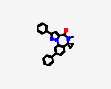 CN1C(=O)c2cc(-c3ccccc3)nn2-c2cc(-c3ccccc3)ccc2C12CC2